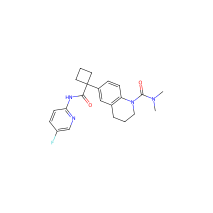 CN(C)C(=O)N1CCCc2cc(C3(C(=O)Nc4ccc(F)cn4)CCC3)ccc21